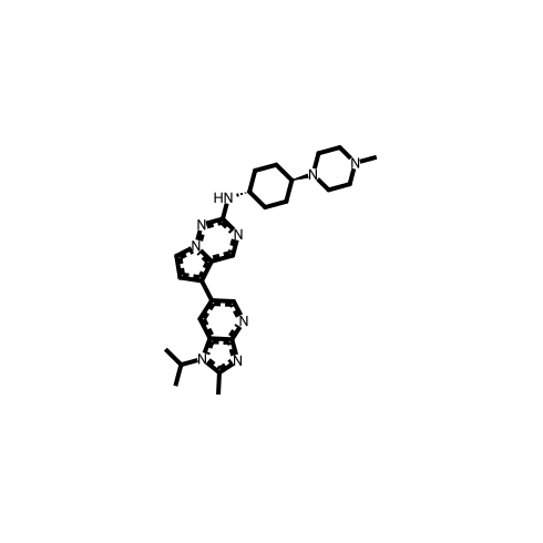 Cc1nc2ncc(-c3ccn4nc(N[C@H]5CC[C@H](N6CCN(C)CC6)CC5)ncc34)cc2n1C(C)C